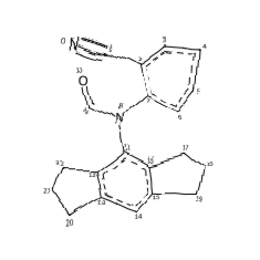 N#Cc1ccccc1N([C]=O)c1c2c(cc3c1CCC3)CCC2